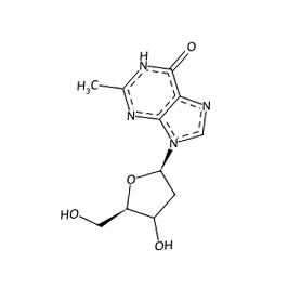 Cc1nc2c(ncn2[C@H]2CC(O)[C@@H](CO)O2)c(=O)[nH]1